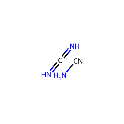 N#CN.N=C=N